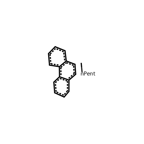 CCCCCC.c1ccc2c(c1)ccc1ccccc12